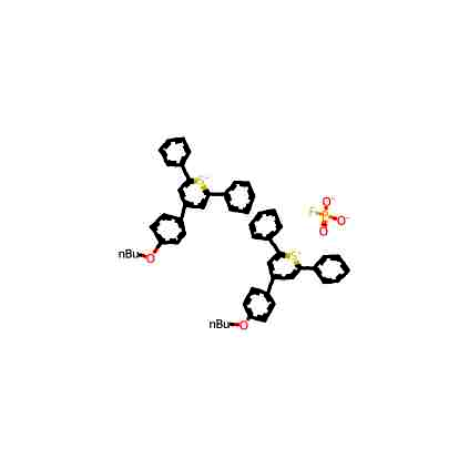 CCCCOc1ccc(-c2cc(-c3ccccc3)[s+]c(-c3ccccc3)c2)cc1.CCCCOc1ccc(-c2cc(-c3ccccc3)[s+]c(-c3ccccc3)c2)cc1.O=P([O-])([O-])F